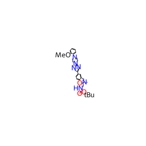 COc1ccccc1N1CCN(c2ncc(-c3cccc(CN(C)C(=O)CNC(=O)OC(C)(C)C)c3)cn2)CC1